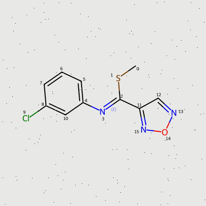 CS/C(=N\c1cccc(Cl)c1)c1cnon1